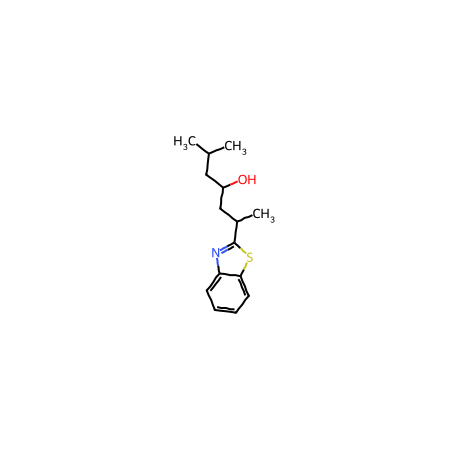 CC(C)CC(O)CC(C)c1nc2ccccc2s1